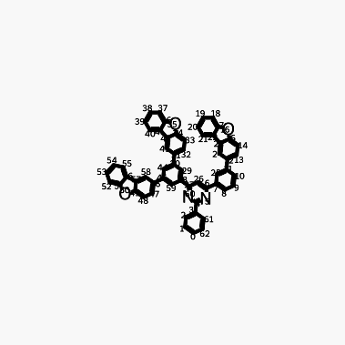 c1ccc(-c2nc(-c3cccc(-c4ccc5oc6ccccc6c5c4)c3)cc(-c3cc(-c4ccc5oc6ccccc6c5c4)cc(-c4ccc5oc6ccccc6c5c4)c3)n2)cc1